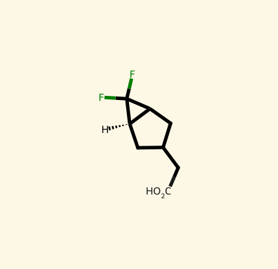 O=C(O)CC1CC2[C@@H](C1)C2(F)F